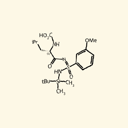 COc1cccc(S(=O)(=NC(=O)[C@H](CC(C)C)NC(=O)O)N[Si](C)(C)C(C)(C)C)c1